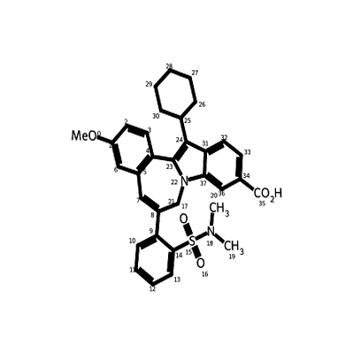 COc1ccc2c(c1)C=C(c1ccccc1S(=O)(=O)N(C)C)Cn1c-2c(C2CCCCC2)c2ccc(C(=O)O)cc21